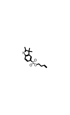 C=CCCOS(=O)(=O)c1ccc2c(c1)C(C)(C)C(C)=N2